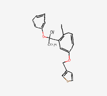 Cc1ccc(OCc2ccsc2)cc1C(C#N)(Oc1ccccc1)C(=O)O